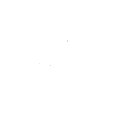 CCOSc1ccc2n[c]sc2c1